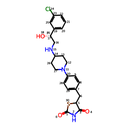 O=C1NC(=O)C(Cc2ccc(N3CCC(NC[C@H](O)c4cccc(Cl)c4)CC3)cc2)S1